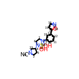 N#CN1CC[C@H](N2CCN(c3cccc(-c4ccno4)c3)S2(O)O)C1